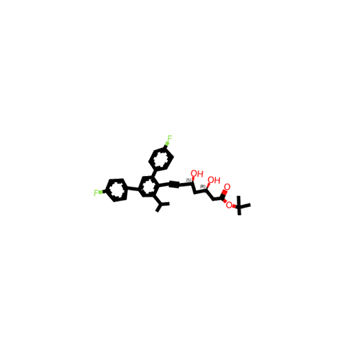 CC(C)c1cc(-c2ccc(F)cc2)cc(-c2ccc(F)cc2)c1C#C[C@@H](O)C[C@@H](O)CC(=O)OC(C)(C)C